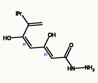 C=C(/C(O)=C\C(O)=C\C(=O)NN)C(C)C